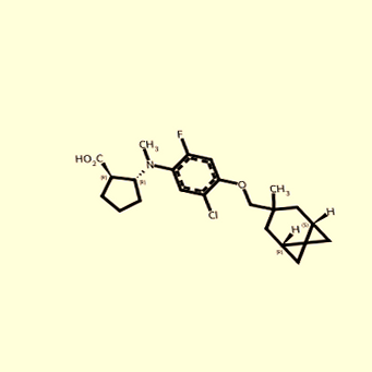 CN(c1cc(Cl)c(OCC2(C)C[C@@H]3CC34C[C@@H]4C2)cc1F)[C@@H]1CCC[C@H]1C(=O)O